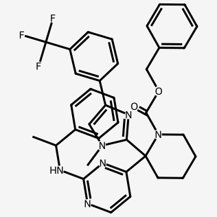 CC(Nc1nccc(C2(c3nc(-c4cccc(C(F)(F)F)c4)cn3C)CCCCN2C(=O)OCc2ccccc2)n1)c1ccccc1